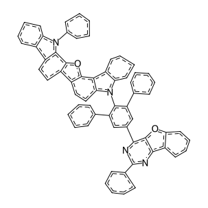 c1ccc(-c2nc(-c3cc(-c4ccccc4)c(-n4c5ccccc5c5c6oc7c(ccc8c9ccccc9n(-c9ccccc9)c87)c6ccc54)c(-c4ccccc4)c3)c3oc4ccccc4c3n2)cc1